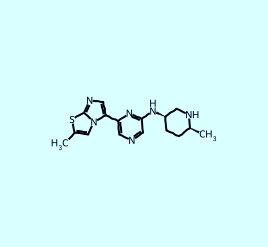 Cc1cn2c(-c3cncc(N[C@@H]4CC[C@H](C)NC4)n3)cnc2s1